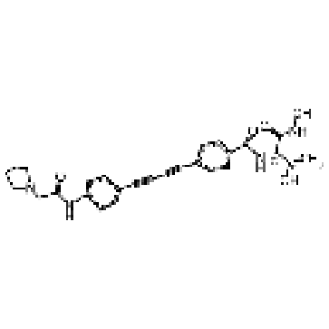 C[C@@H](O)[C@H](NC(=O)c1ccc(C#CC#Cc2ccc(NC(=O)CN3CCCC3)cc2)cc1)C(=O)NO